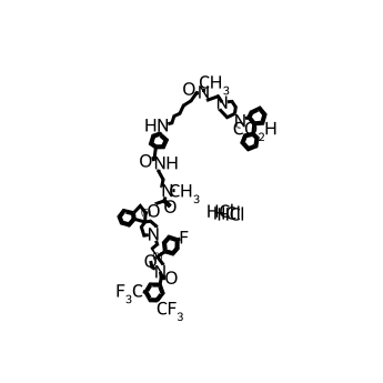 CN(CCN1CCC(N(C(=O)O)c2ccccc2-c2ccccc2)CC1)C(=O)CCCCCNc1ccc(C(=O)NCCCN(C)C(=O)CO[C@H]2Cc3ccccc3C23CCN(CC[C@@]2(c4ccc(F)cc4)CN(C(=O)c4cc(C(F)(F)F)cc(C(F)(F)F)c4)CO2)CC3)cc1.Cl.Cl.Cl